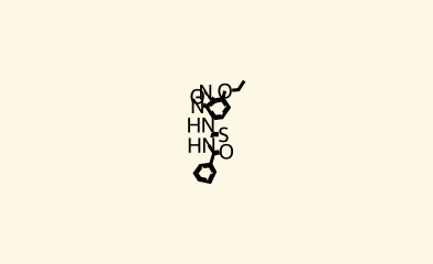 CCOc1ccc(NC(=S)NC(=O)c2ccccc2)c2nonc12